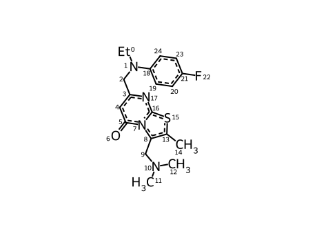 CCN(Cc1cc(=O)n2c(CN(C)C)c(C)sc2n1)c1ccc(F)cc1